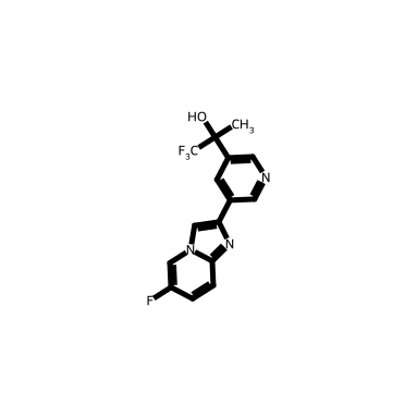 CC(O)(c1cncc(-c2cn3cc(F)ccc3n2)c1)C(F)(F)F